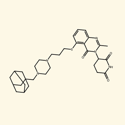 Cc1nc2cccc(SCCCN3CCN(CC45CC6CC(CC(C6)C4)C5)CC3)c2c(=O)n1C1CCC(=O)NC1=O